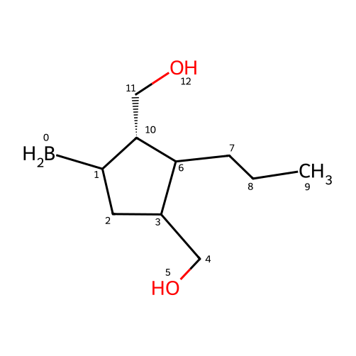 BC1CC(CO)C(CCC)[C@H]1CO